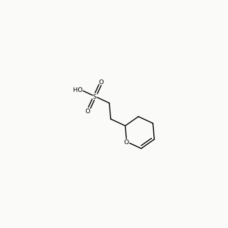 O=S(=O)(O)CCC1CCC=CO1